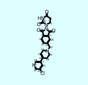 O=C1CCN(N2C(=O)c3ccc(CN4CC=C(c5cncc(Cl)c5)CC4)cc3C2=O)C(=O)N1